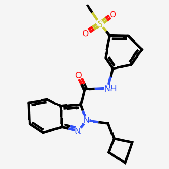 CS(=O)(=O)c1cccc(NC(=O)c2c3ccccc3nn2CC2CCC2)c1